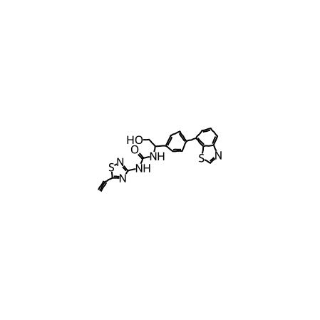 C#Cc1nc(NC(=O)NC(CO)c2ccc(-c3cccc4ncsc34)cc2)ns1